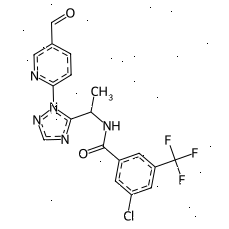 CC(NC(=O)c1cc(Cl)cc(C(F)(F)F)c1)c1ncnn1-c1ccc(C=O)cn1